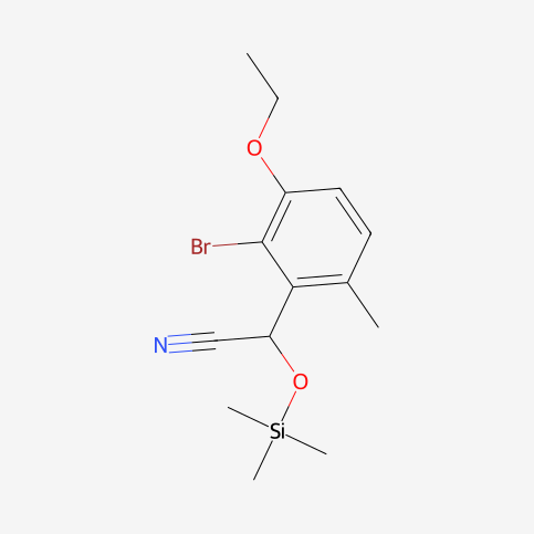 CCOc1ccc(C)c(C(C#N)O[Si](C)(C)C)c1Br